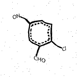 O=Cc1cc(N=O)ccc1Cl